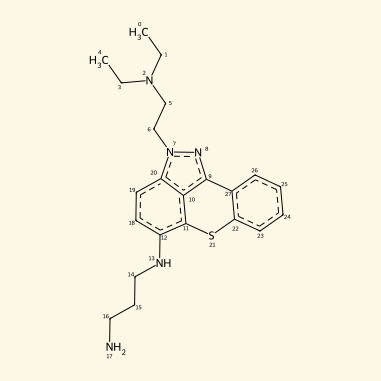 CCN(CC)CCn1nc2c3c(c(NCCCN)ccc31)Sc1ccccc1-2